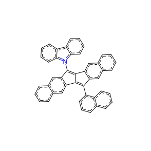 c1ccc2cc3c(cc2c1)C1=C(n2c4ccccc4c4ccccc42)c2cc4ccccc4cc2C1=C3c1cccc2ccccc12